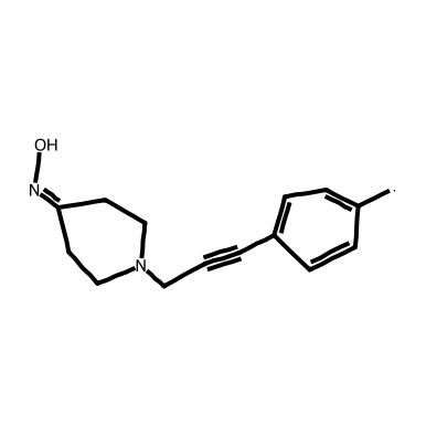 [CH2]c1ccc(C#CCN2CCC(=NO)CC2)cc1